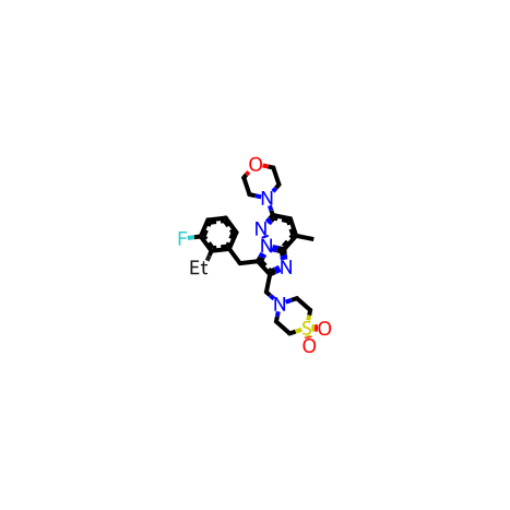 CCc1c(F)cccc1Cc1c(CN2CCS(=O)(=O)CC2)nc2c(C)cc(N3CCOCC3)nn12